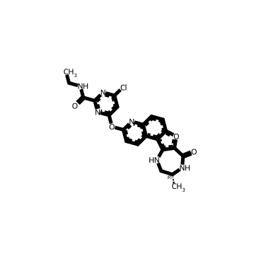 CCNC(=O)c1nc(Cl)cc(Oc2ccc3c(ccc4oc5c(c43)NC[C@@H](C)NC5=O)n2)n1